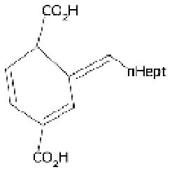 CCCCCCCC=C1C=C(C(=O)O)C=CC1C(=O)O